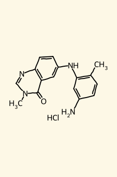 Cc1ccc(N)cc1Nc1ccc2ncn(C)c(=O)c2c1.Cl